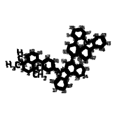 CC1(C)CCC(C)(C)c2c(-c3ccc(-n4c5ccccc5c5c6ccccc6c(-c6ccc(-c7ccccc7-n7c8ccccc8c8ccccc87)cc6)cc54)cc3)cccc21